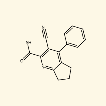 N#Cc1c(C(=O)S)nc2c(c1-c1ccccc1)CCC2